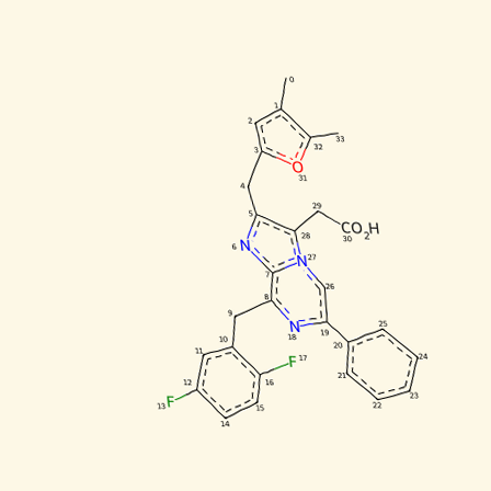 Cc1cc(Cc2nc3c(Cc4cc(F)ccc4F)nc(-c4ccccc4)cn3c2CC(=O)O)oc1C